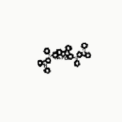 CC(C)(C)C1(C(C)(C)C)c2c(ccc3cc(N(c4ccccc4)c4ccc5c(c4)c4ccccc4n5-c4ccccc4)ccc23)-c2c1c1ccc(N(c3ccccc3)c3ccc4c(c3)c3ccccc3n4-c3ccccc3)cc1c1ccccc21